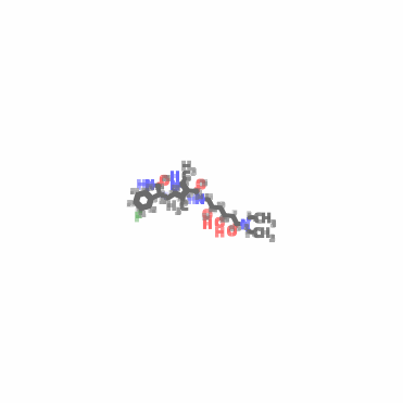 CCN(CC)C(=O)C[C@H](O)C[C@H](O)CNC(=O)c1c(C)[nH]c(/C=C2\C(=O)Nc3ccc(F)cc32)c1C